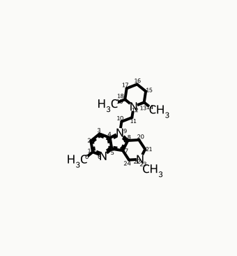 Cc1ccc2c(n1)c1c(n2CCN2C(C)CCCC2C)CCN(C)C1